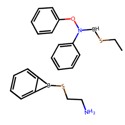 CCSBN(Oc1ccccc1)c1ccccc1.NCCSB1c2ccccc21